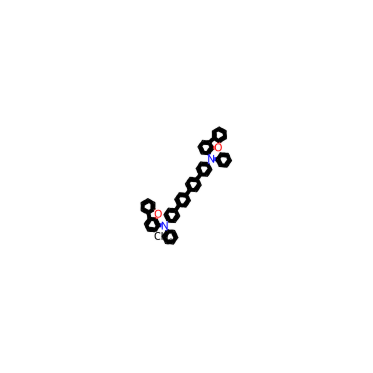 Cc1ccc2c(oc3ccccc32)c1N(c1ccccc1)c1ccc(-c2ccc(-c3ccc(-c4ccc(N(c5ccccc5)c5cccc6c5oc5ccccc56)cc4)cc3)cc2)cc1